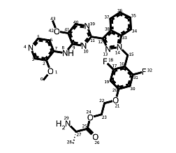 COc1cnccc1Nc1nc(-c2nn(Cc3c(F)cc(OCCOC(=O)[C@H](C)N)cc3F)c3ccccc23)ncc1OC